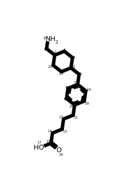 NCC1CCC(Cc2ccc(CCCCC(=O)O)cc2)CC1